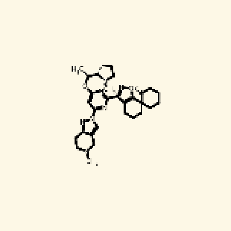 C[C@H](Oc1cc(-n2cc3c(n2)CCN(C)C3)nc(-c2noc3c2CCC[C@@]32CCCCC2=O)n1)[C@@H]1CCCN1C